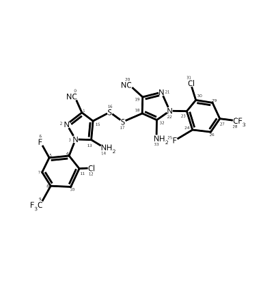 N#Cc1nn(-c2c(F)cc(C(F)(F)F)cc2Cl)c(N)c1SSc1c(C#N)nn(-c2c(F)cc(C(F)(F)F)cc2Cl)c1N